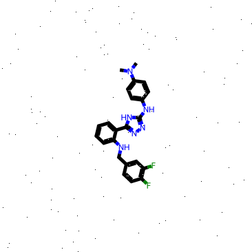 CN(C)c1ccc(Nc2nnc(-c3ccccc3NCc3ccc(F)c(F)c3)[nH]2)cc1